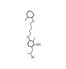 CC(=O)C(C)Cc1ccc(OCCCCOc2ccccc2F)c(C)c1O